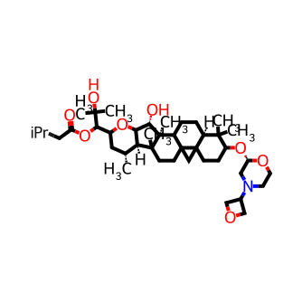 CC(C)CC(=O)OC(C1C[C@@H](C)[C@H]2C(O1)[C@H](O)[C@@]1(C)C3CC[C@H]4C(C)(C)C(O[C@H]5CN(C6COC6)CCO5)CCC45CC35CCC21C)C(C)(C)O